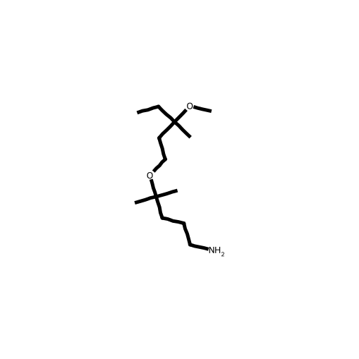 CCC(C)(CCOC(C)(C)CCCN)OC